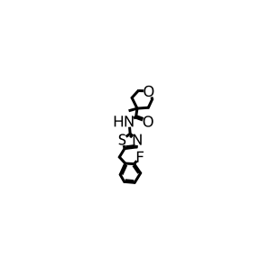 CC1(C(=O)Nc2ncc(Cc3ccccc3F)s2)CCOCC1